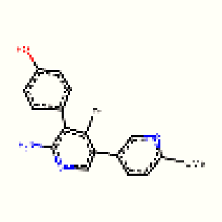 CCc1c(-c2ccc(OC)nc2)cnc(N)c1-c1ccc(O)cc1